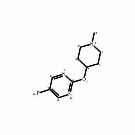 CN1CCC(Oc2ncc(F)cn2)CC1